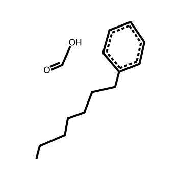 CCCCCCCc1ccccc1.O=CO